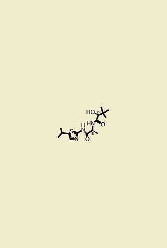 CC(C)c1cnc(NC(=O)[C@H](C)NC(=O)[C@@H](O)C(C)(C)C)s1